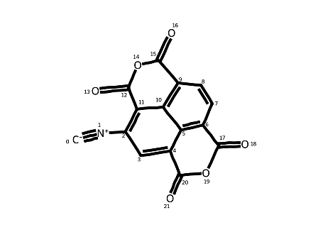 [C-]#[N+]c1cc2c3c(ccc4c3c1C(=O)OC4=O)C(=O)OC2=O